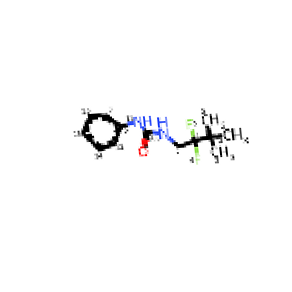 CC(C)(C)C(F)(F)CNC(=O)Nc1ccccc1